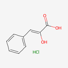 Cl.O=C(O)C(O)=Cc1ccccc1